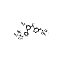 Cc1cc(Nc2nccc(OC(C)C)n2)cc(-c2cnn(C[C@](C)(O)CO)c2)c1